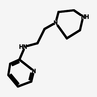 c1ccc(NCCN2CCNCC2)nc1